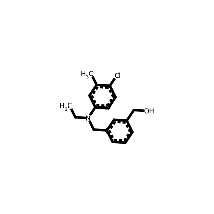 CCN(Cc1cccc(CO)c1)c1ccc(Cl)c(C)c1